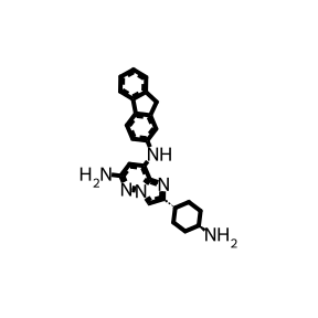 Nc1cc(Nc2ccc3c(c2)Cc2ccccc2-3)c2nc([C@H]3CC[C@H](N)CC3)cn2n1